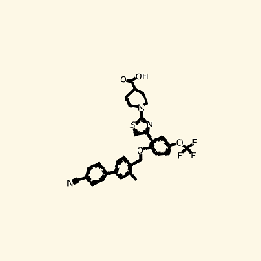 Cc1cc(-c2ccc(C#N)cc2)ccc1COc1ccc(OC(F)(F)F)cc1-c1csc(N2CCC(C(=O)O)CC2)n1